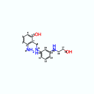 Nc1cccc(O)c1CNc1cccc(NCCO)c1